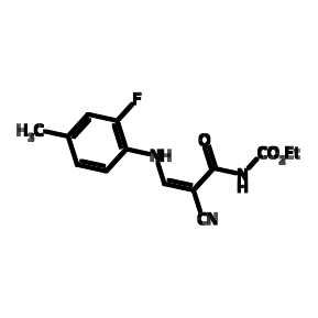 CCOC(=O)NC(=O)/C(C#N)=C\Nc1ccc(C)cc1F